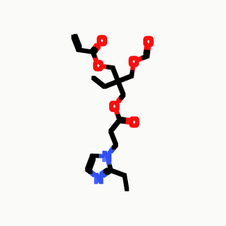 C=CC(=O)OCC(CC)(COC=O)COC(=O)CCn1ccnc1CC